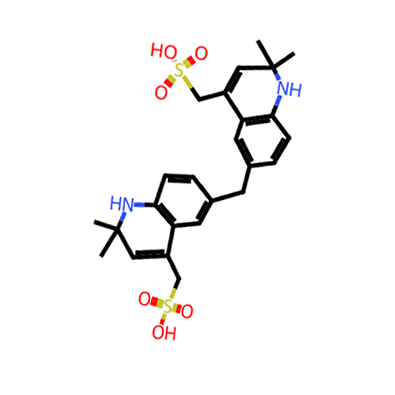 CC1(C)C=C(CS(=O)(=O)O)c2cc(Cc3ccc4c(c3)C(CS(=O)(=O)O)=CC(C)(C)N4)ccc2N1